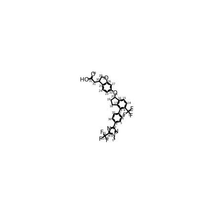 Cn1nc(-c2ccc(-c3c(C(F)(F)F)ccc4c3CC[C@H]4Oc3ccc4c(c3)OCC4CC(=O)O)cc2)nc1C(F)(F)F